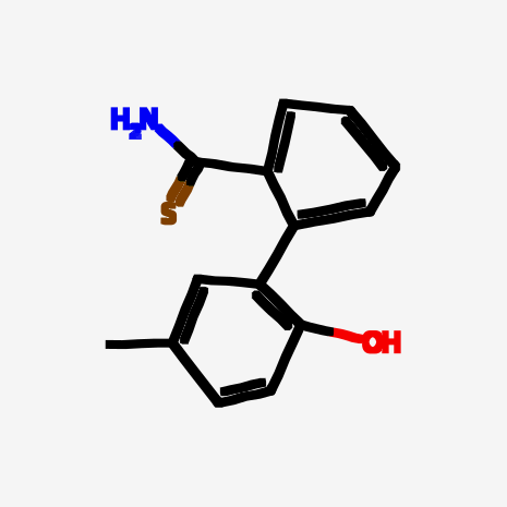 Cc1ccc(O)c(-c2ccccc2C(N)=S)c1